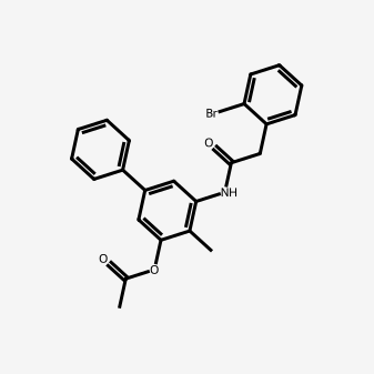 CC(=O)Oc1cc(-c2ccccc2)cc(NC(=O)Cc2ccccc2Br)c1C